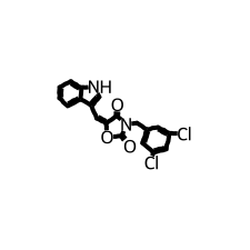 O=C1O/C(=C/c2c[nH]c3ccccc23)C(=O)N1Cc1cc(Cl)cc(Cl)c1